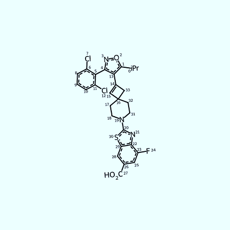 CC(C)c1onc(-c2c(Cl)cccc2Cl)c1C1=CC2(CCN(c3nc4c(F)cc(C(=O)O)cc4s3)CC2)C1